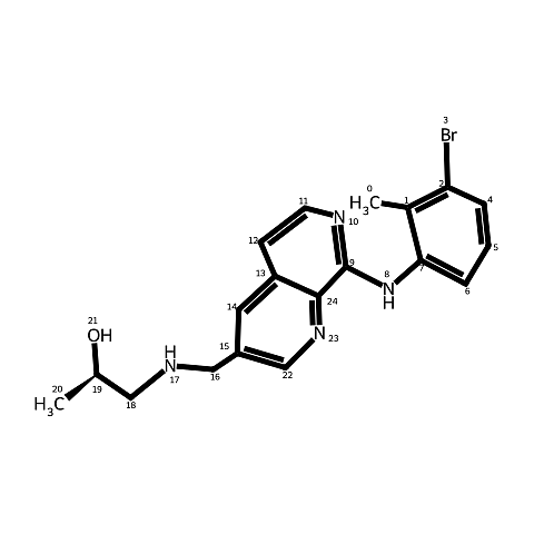 Cc1c(Br)cccc1Nc1nccc2cc(CNC[C@@H](C)O)cnc12